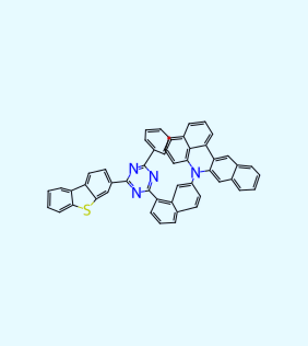 c1ccc(-c2nc(-c3ccc4c(c3)sc3ccccc34)nc(-c3cccc4ccc(N5c6cc7ccccc7cc6-c6cccc7cccc5c67)cc34)n2)cc1